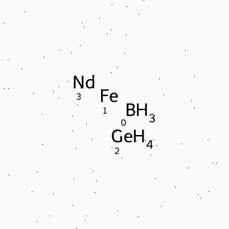 B.[Fe].[GeH4].[Nd]